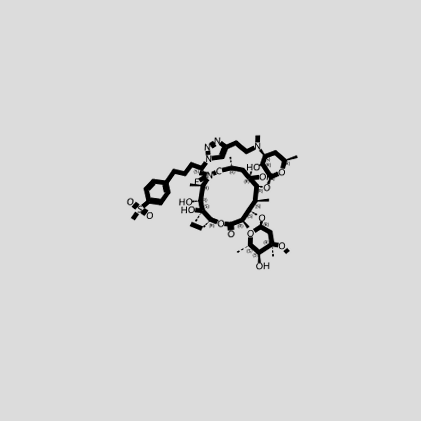 CC[C@H]1OC(=O)[C@H](C)[C@@H](O[C@H]2C[C@@](C)(OC)[C@@H](O)[C@H](C)O2)[C@H](C)[C@@H](O[C@@H]2O[C@H](C)C[C@H](N(C)CCc3cn([C@H](CF)CCCc4ccc(S(C)(=O)=O)cc4)nn3)[C@H]2O)[C@](C)(O)C[C@@H](C)CN(C)[C@H](C)[C@@H](O)[C@]1(C)O